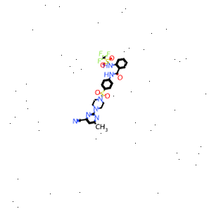 Cc1cc(C#N)nc(N2CCN(S(=O)(=O)c3ccc(NC(=O)c4ccccc4NS(=O)(=O)C(F)(F)F)cc3)CC2)n1